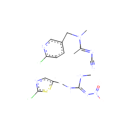 C/C(=N\C#N)N(C)Cc1ccc(Cl)nc1.CN/C(=N\[N+](=O)[O-])NCc1cnc(Cl)s1